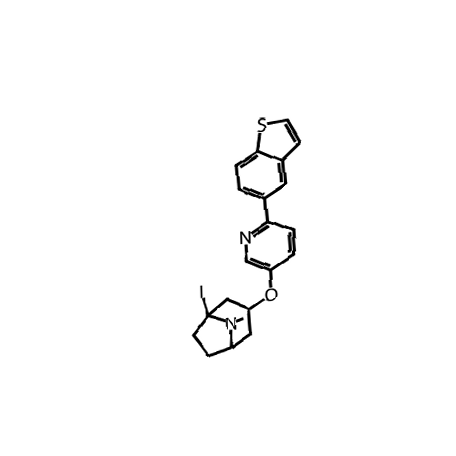 CN1C2CCC1(I)CC(Oc1ccc(-c3ccc4sccc4c3)nc1)C2